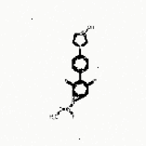 CON(F)N1c2cc(F)c(-c3ccc(N4CC[C@@H](O)C4)cc3)c(F)c21